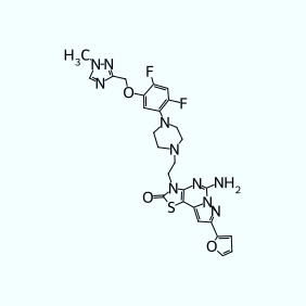 Cn1cnc(COc2cc(N3CCN(CCn4c(=O)sc5c4nc(N)n4nc(-c6ccco6)cc54)CC3)c(F)cc2F)n1